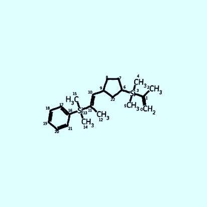 C=C(C)[Si](C)(C)C1CCC(/C=C(\C)[Si](C)(C)c2ccccc2)C1